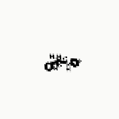 Nc1c(C(=O)Nc2ccc(F)cc2)sc2nc3c(cc12)CCCC3